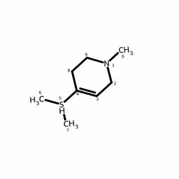 CN1CC=C([SH](C)C)CC1